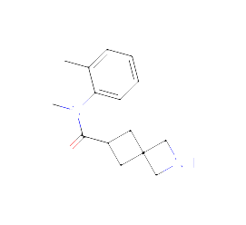 Cc1ccccc1N(C)C(=O)C1CC2(CNC2)C1